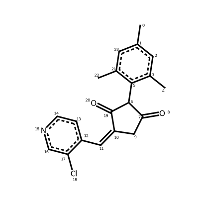 Cc1cc(C)c(C2C(=O)CC(=Cc3ccncc3Cl)C2=O)c(C)c1